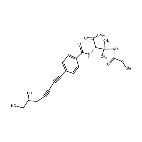 COC(=O)[C@@H](NC(=O)c1ccc(C#CC#CC[C@H](O)CO)cc1)C(C)(C)NC(=O)OC(C)(C)C